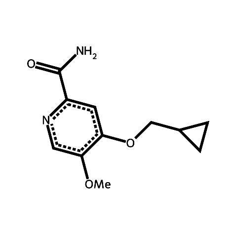 COc1cnc(C(N)=O)cc1OCC1CC1